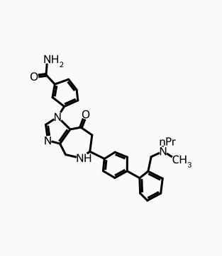 CCCN(C)Cc1ccccc1-c1ccc(C2CC(=O)c3c(ncn3-c3cccc(C(N)=O)c3)CN2)cc1